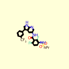 CCCS(=O)(=O)Nc1ccc(F)c(C(=O)Nc2cnc3[nH]cc(-c4cccc(C(F)(F)F)c4)c3c2)c1F